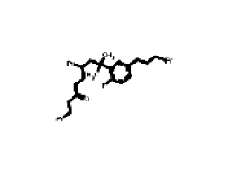 CC(C)CCCc1ccc(F)c(C(C)(C)CC(CCC(=O)CCC(C)C)C(C)C)c1